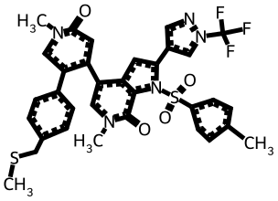 CSCc1ccc(-c2cn(C)c(=O)cc2-c2cn(C)c(=O)c3c2cc(-c2cnn(C(F)(F)F)c2)n3S(=O)(=O)c2ccc(C)cc2)cc1